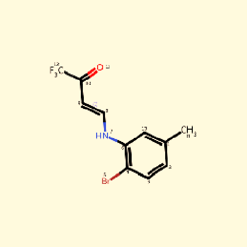 Cc1ccc(Br)c(N/C=C/C(=O)C(F)(F)F)c1